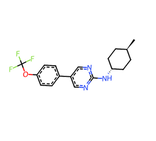 C[C@H]1CC[C@H](Nc2ncc(-c3ccc(OC(F)(F)F)cc3)cn2)CC1